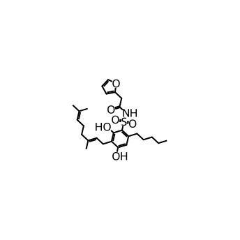 CCCCCc1cc(O)c(C/C=C(\C)CCC=C(C)C)c(O)c1S(=O)(=O)NC(=O)Cc1ccco1